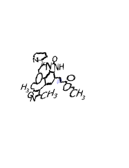 CCOC(=O)/C=C/c1cc(-c2c(C)noc2C)c2c3c1[nH]c(=O)n3[C@@H](c1ccccn1)CO2